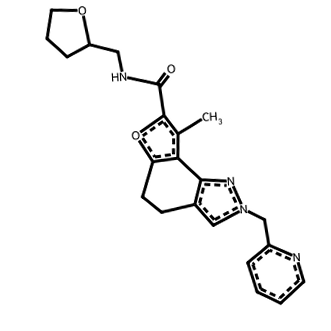 Cc1c(C(=O)NCC2CCCO2)oc2c1-c1nn(Cc3ccccn3)cc1CC2